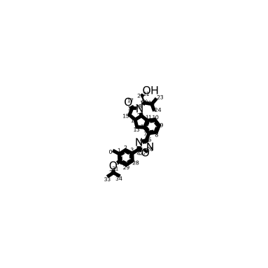 Cc1cc(-c2nc(-c3cccc4c3CC3CC(=O)N([C@@H](CO)C(C)C)C43)no2)ccc1OC(C)C